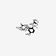 CC(C)C.CC(C)C.CN(C)C(O)=S.Cc1ccc(O)cc1.NC(O)=S